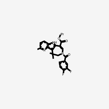 Cc1ccc2[nH]c3c(c2n1)C(C)(C)CN(C(=O)c1ccc(F)c(F)c1)C=C3C(=O)OC(C)C